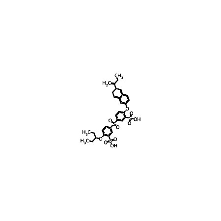 C=C(CC)C1C=c2ccc(Oc3ccc(S(=O)(=O)c4ccc(OC(CC)CC)c(S(=O)(=O)O)c4)cc3S(=O)(=O)O)cc2=CC1